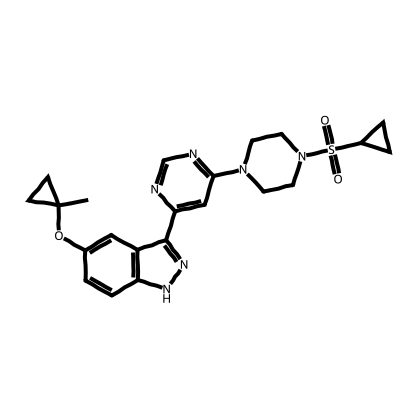 CC1(Oc2ccc3[nH]nc(-c4cc(N5CCN(S(=O)(=O)C6CC6)CC5)ncn4)c3c2)CC1